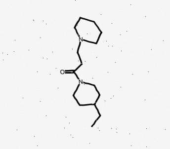 CCC1CCN(C(=O)CCN2CCCCC2)CC1